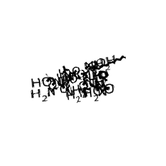 CCCCCCC[C@@H](O)CC(=O)N[C@H](CN)C(=O)N[C@@H](CCNC(=O)[C@H](CC(C)C)NC(=O)[C@H](CCN)NC(=O)[C@H](CCN)NC(=O)C[C@@H](C)O)C(=O)N[C@@H](CCN)C(=O)N[C@H](Cc1ccccc1)C(N)=O